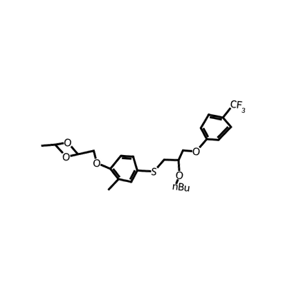 CCCCOC(COc1ccc(C(F)(F)F)cc1)CSc1ccc(OCC2OC(C)O2)c(C)c1